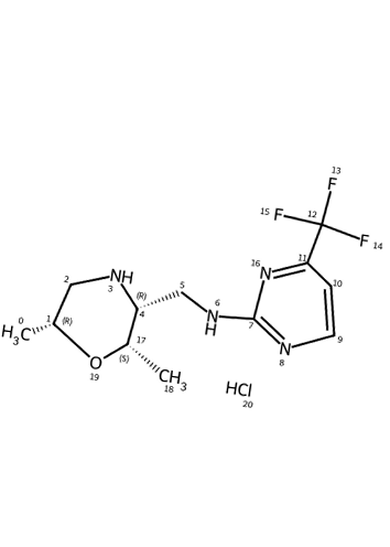 C[C@@H]1CN[C@H](CNc2nccc(C(F)(F)F)n2)[C@H](C)O1.Cl